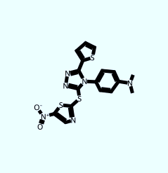 CN(C)c1ccc(-n2c(Sc3ncc([N+](=O)[O-])s3)nnc2-c2cccs2)cc1